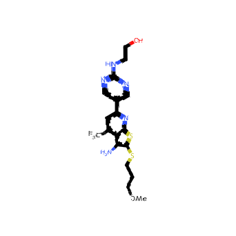 COCCCSc1sc2nc(-c3cnc(NCCO)nc3)cc(C(F)(F)F)c2c1N